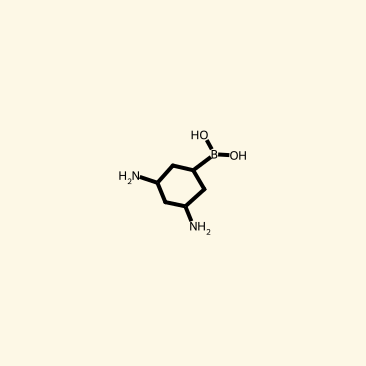 NC1CC(N)CC(B(O)O)C1